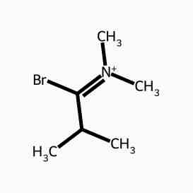 CC(C)C(Br)=[N+](C)C